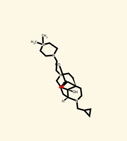 C[Si]1(C)CCN(CCN2CC[C@]34CCN(CC5CC5)[C@H](Cc5ccc(O)cc53)[C@]4(O)CC2)CC1